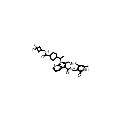 CSc1cc(C)[nH]c(=O)c1CNC(=O)c1c(C)n(C(C)C2CCC(C(=O)NC3CC(F)(F)C3)CC2)c2ncccc12